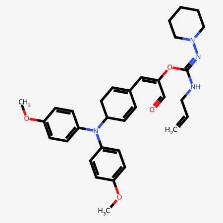 C=CCNC(=NN1CCCCC1)O/C(C=O)=C/C1=CCC(N(c2ccc(OC)cc2)c2ccc(OC)cc2)C=C1